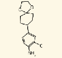 Nc1ccc(C2CCC3(CC2)OCCO3)cc1Cl